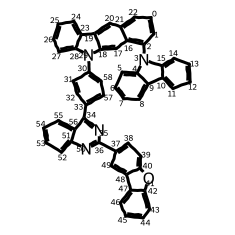 c1cc(-n2c3ccccc3c3ccccc32)c2cc3c(cc2c1)c1ccccc1n3-c1ccc(-c2nc(-c3ccc4oc5ccccc5c4c3)nc3ccccc23)cc1